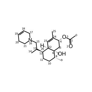 CC(=O)O[C@@H]1[CH][C@@]2(O)[C@H](C)CC[C@@H](C(C)CN3CC=CCC3)[C@H]2C=C1C